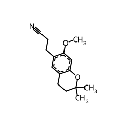 COc1cc2c(cc1CCC#N)CCC(C)(C)O2